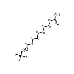 CC(C)(C)OOCCCCCCCCCC(=O)O